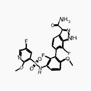 COc1ccc(NS(=O)(=O)c2cc(F)cnc2OC)c(F)c1-c1ccc2c(C(N)=O)n[nH]c2c1F